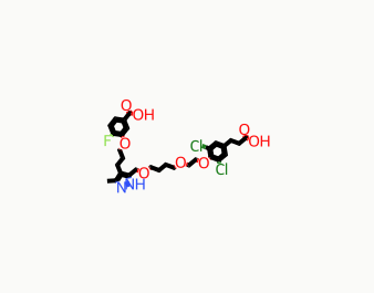 Cc1n[nH]c(COCCCCOCCOc2c(Cl)cc(CCC(=O)O)cc2Cl)c1CCCOc1cc(C(=O)O)ccc1F